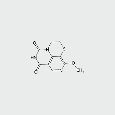 COc1ncc2c(=O)[nH]c(=O)n3c2c1SCC3